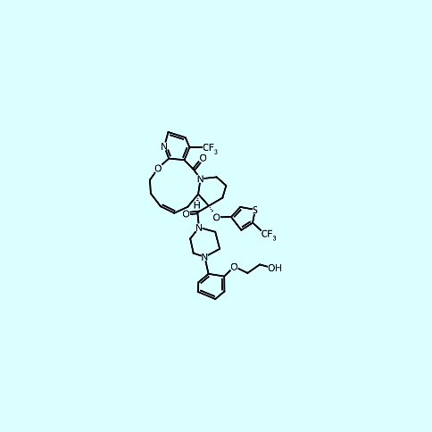 O=C1c2c(C(F)(F)F)ccnc2OCCC=CC[C@H]2N1CCC[C@@]2(Oc1csc(C(F)(F)F)c1)C(=O)N1CCN(c2ccccc2OCCO)CC1